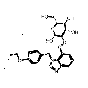 CCOc1ccc(Cn2nnc3cccc(OO[C@@H]4[C@@H](O)[C@H](O)[C@@H](CO)O[C@H]4O)c32)cc1